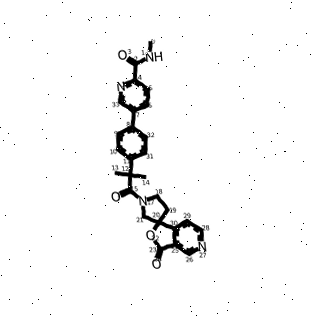 CNC(=O)c1ccc(-c2ccc(C(C)(C)C(=O)N3CCC4(C3)OC(=O)c3cnccc34)cc2)cn1